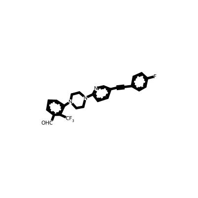 O=Cc1cccc(N2CCN(c3ccc(C#Cc4ccc(F)cc4)cn3)CC2)c1C(F)(F)F